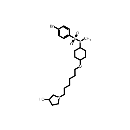 CN(C1CCC(OCCCCCCN2CCC(O)C2)CC1)S(=O)(=O)c1ccc(Br)cc1